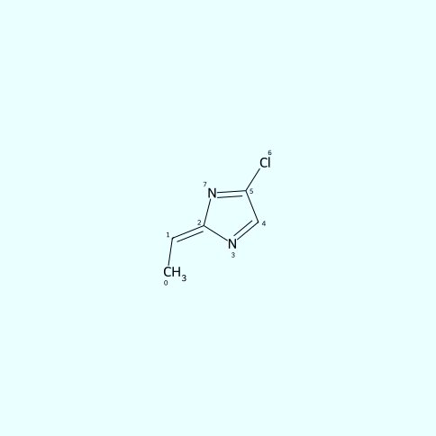 C/C=C1\N=CC(Cl)=N1